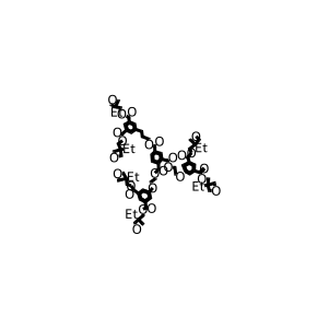 CCC1(COC(=O)c2cc(CCCOC(=O)c3ccc(C(=O)OCCOc4cc(C(=O)OCC5(CC)COC5)cc(C(=O)OCC5(CC)COC5)c4)c(C(=O)OCCOc4cc(C(=O)OCC5(CC)COC5)cc(C(=O)OCC5(CC)COC5)c4)c3)cc(C(=O)OCC3(CC)COC3)c2)COC1